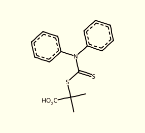 CC(C)(SC(=S)N(c1ccccc1)c1ccccc1)C(=O)O